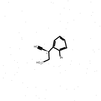 C#C[C@H](CC(=O)O)c1ccccc1C(C)C